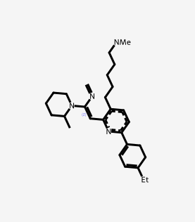 C=N/C(=C\c1nc(C2=CC=C(CC)CC2)ccc1CCCCCNC)N1CCCCC1C